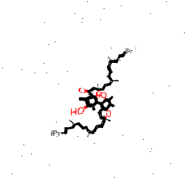 Cc1c(C)c2c(c(-c3c(C)c(O)c(C)c4c3O[C@](C)(CCC[C@H](C)CCC[C@H](C)CCCC(C)C)CC4=O)c1O)C=C[C@@](C)(CCC[C@H](C)CCC[C@H](C)CCCC(C)C)O2